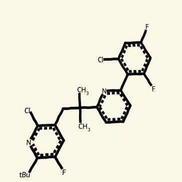 CC(C)(C)c1nc(Cl)c(CC(C)(C)c2cccc(-c3c(F)cc(F)cc3Cl)n2)cc1F